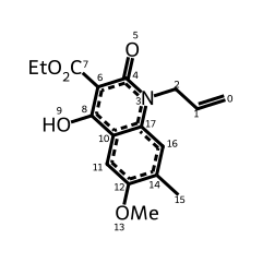 C=CCn1c(=O)c(C(=O)OCC)c(O)c2cc(OC)c(C)cc21